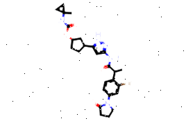 CC(C(=O)Nc1cc(C2CCC(OC(=O)NC3(C)CC3)C2)[nH]n1)c1ccc(N2CCCC2=O)cc1Br